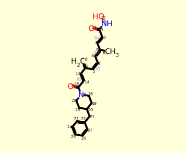 C=C(\C=C/C=C(C)/C=C/C(=O)NO)/C=C/C(=O)N1CCC(Cc2ccccc2)CC1